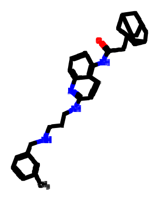 Cc1cccc(CNCCCNc2ccc3c(NC(=O)CC45CC6CC(CC(C6)C4)C5)cccc3n2)c1